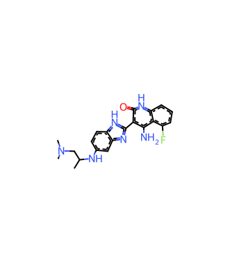 CC(CN(C)C)Nc1ccc2[nH]c(-c3c(N)c4c(F)cccc4[nH]c3=O)nc2c1